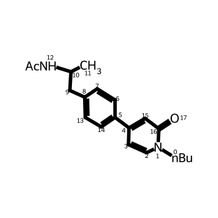 CCCCn1ccc(-c2ccc(CC(C)NC(C)=O)cc2)cc1=O